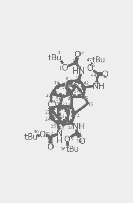 CC(C)(C)OC(=O)Nc1ccc(-c2cc3ccc2CCc2ccc(c(-c4ccc(NC(=O)OC(C)(C)C)c(NC(=O)OC(C)(C)C)c4)c2)CC3)cc1NC(=O)OC(C)(C)C